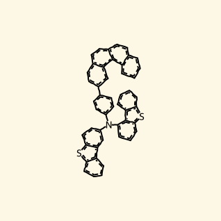 c1ccc2c(c1)ccc1ccc3ccc(-c4ccc(N(c5ccc6sc7ccccc7c6c5)c5cccc6sc7ccccc7c56)cc4)cc3c12